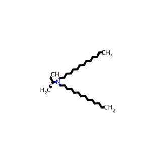 C=C=C(CC)N(CCCCCCCCCCCCCC)CCCCCCCCCCCCCC